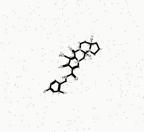 O=C(NCc1ccc(F)cc1F)c1cn2c(c(O)c1=O)C(=O)N1CC[C@H]3CCCN3[C@@H]1C2